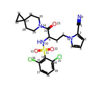 N#Cc1cccn1CCC(NS(=O)(=O)c1c(Cl)cccc1Cl)C(=O)N1CCC2(CC1)CC2